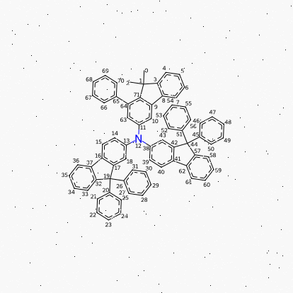 CC1(C)c2ccccc2-c2cc(N(c3ccc4c(c3)C(c3ccccc3)(c3ccccc3)c3ccccc3-4)c3ccc4c(c3)C(c3ccccc3)(c3ccccc3)c3ccccc3-4)cc(-c3ccccc3)c21